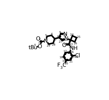 CC(C)(C)OC(=O)N1CCC(c2cnn(C3(C(=O)Nc4ccc(C(F)(F)F)cc4Cl)CCC3)c2)CC1